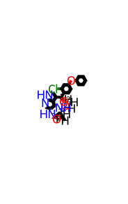 [2H]C([2H])([2H])OC[C@]1(C([2H])([2H])[2H])Nc2c(cnc3[nH]cc(C(=O)c4ccc(Oc5ccccc5)cc4Cl)c23)NC1=O